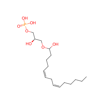 CCCCC/C=C\C/C=C\CCCC(O)OC[C@@H](O)COP(=O)(O)O